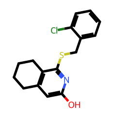 Oc1cc2c(c(SCc3ccccc3Cl)n1)CCCC2